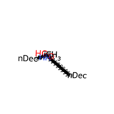 CCCCCCCCCCCCC/C=C/C(O)[C@H](C)NC(=O)CCCCCCCCCCCCCCCCCCCCCCCCC